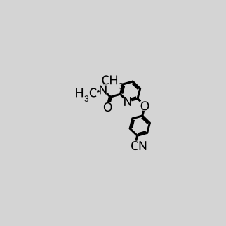 CN(C)C(=O)c1cccc(Oc2ccc(C#N)cc2)n1